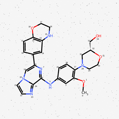 COc1cc(Nc2nc(-c3ccc4c(c3)NCCO4)cn3ccnc23)ccc1N1CCO[C@@H](CO)C1